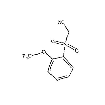 N#CCS(=O)(=O)c1ccccc1OC(F)(F)F